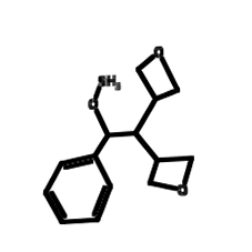 [SiH3]OC(c1ccccc1)C(C1COC1)C1COC1